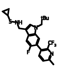 Cc1ccc(-c2cc3c(cc2F)c(CNSC2CC2)cn3CC(C)(C)C)c(C(F)(F)F)n1